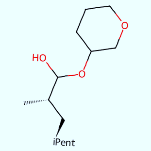 CCC[C@H](C)C[C@H](C)C(O)OC1CCCOC1